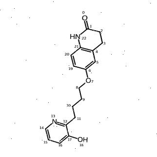 O=C1CCc2cc(OCCCCc3ncccc3O)ccc2N1